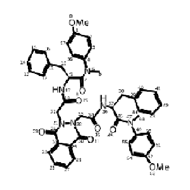 COc1ccc(N(C)C(=O)[C@H](Cc2ccccc2)NC(=O)Cn2c(=O)c3ccccc3c(=O)n2CC(=O)N[C@@H](Cc2ccccc2)C(=O)N(C)c2ccc(OC)cc2)cc1